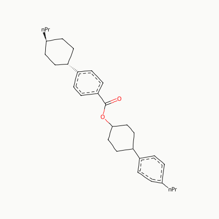 CCCc1ccc(C2CCC(OC(=O)c3ccc([C@H]4CC[C@H](CCC)CC4)cc3)CC2)cc1